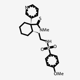 CNC(=S)[C@]1(c2cccnc2)CCCC[C@H]1CCNS(=O)(=O)c1ccc(OC)cc1